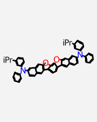 CC(C)c1cccc(N(c2ccccc2)c2ccc3cc4c(cc3c2)oc2c4ccc3c4cc5ccc(N(c6ccccc6)c6cccc(C(C)C)c6)cc5cc4oc32)c1